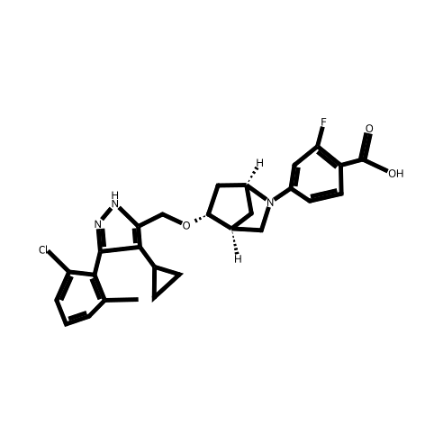 Cc1cccc(Cl)c1-c1n[nH]c(CO[C@@H]2C[C@@H]3C[C@H]2CN3c2ccc(C(=O)O)c(F)c2)c1C1CC1